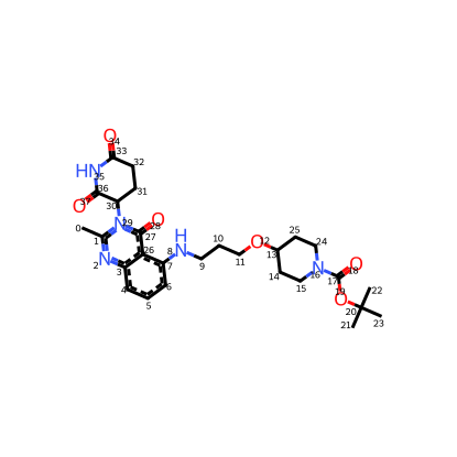 Cc1nc2cccc(NCCCOC3CCN(C(=O)OC(C)(C)C)CC3)c2c(=O)n1C1CCC(=O)NC1=O